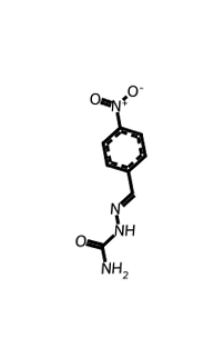 NC(=O)NN=Cc1ccc([N+](=O)[O-])cc1